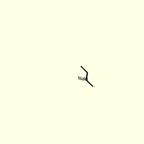 [CH2]CCC.[NaH]